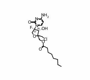 CCCCCCCC(=O)OC[C@@]1(CCl)OC[C@@](F)(n2ccc(N)nc2=O)[C@@H]1O